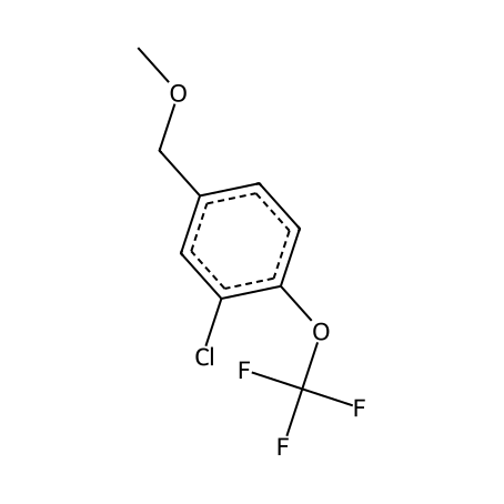 COCc1ccc(OC(F)(F)F)c(Cl)c1